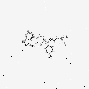 CN(C)CCO[C@H](c1ccc(Cl)cc1)C1CCN(c2ncnc3[nH]nc(Br)c23)CC1